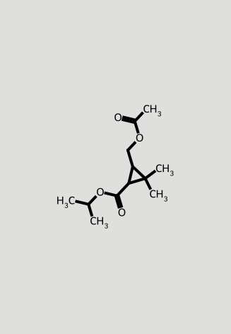 CC(=O)OCC1C(C(=O)OC(C)C)C1(C)C